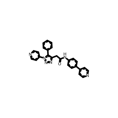 O=C(Cc1nnn(-c2ccncc2)c1-c1ccccc1)Nc1ccc(-c2ccncc2)cc1